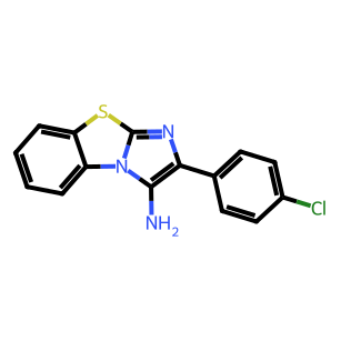 Nc1c(-c2ccc(Cl)cc2)nc2sc3ccccc3n12